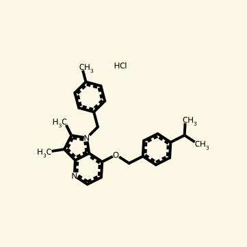 Cc1ccc(Cn2c(C)c(C)c3nccc(OCc4ccc(C(C)C)cc4)c32)cc1.Cl